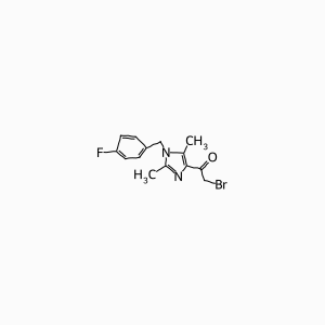 Cc1nc(C(=O)CBr)c(C)n1Cc1ccc(F)cc1